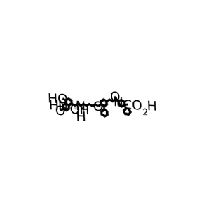 O=C(CCc1ccc(OCCCCCNC[C@H](O)c2ccc(O)c3[nH]c(=O)ccc23)c(-c2ccccc2)c1)N1CCC(C(=O)O)(c2ccccc2)CC1